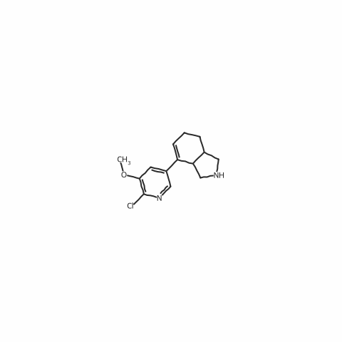 COc1cc(C2=CCCC3CNCC23)cnc1Cl